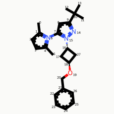 Cc1ccc(C)n1-c1cc(C(C)(C)C)nn1[C@H]1C[C@H](OCc2ccccc2)C1